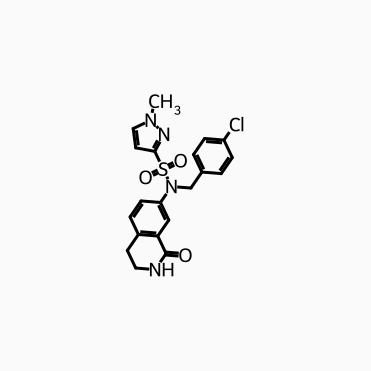 Cn1ccc(S(=O)(=O)N(Cc2ccc(Cl)cc2)c2ccc3c(c2)C(=O)NCC3)n1